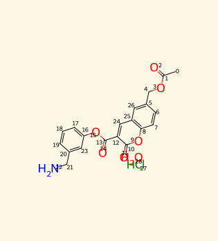 CC(=O)OCc1ccc2oc(=O)c(C(=O)Oc3cccc(CN)c3)cc2c1.Cl.O